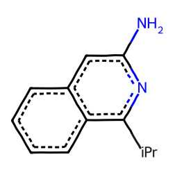 CC(C)c1nc(N)cc2ccccc12